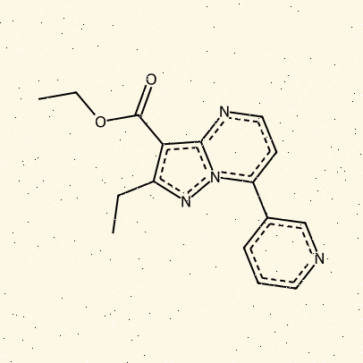 CCOC(=O)c1c(CC)nn2c(-c3cccnc3)ccnc12